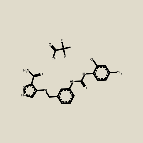 NC(=O)c1n[nH]cc1NCc1cccc(NC(=O)Nc2ccc(C(F)(F)F)cc2Cl)c1.O=C(O)C(F)(F)F